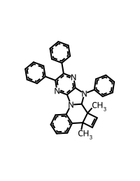 CC12C=CC1(C)C1N(c3ccccc3)c3nc(-c4ccccc4)c(-c4ccccc4)nc3N1c1ccccc12